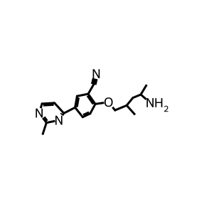 Cc1nccc(-c2ccc(OCC(C)CC(C)N)c(C#N)c2)n1